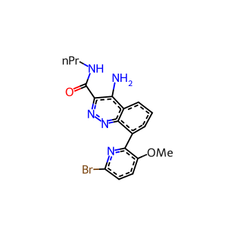 CCCNC(=O)c1nnc2c(-c3nc(Br)ccc3OC)cccc2c1N